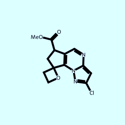 COC(=O)C1CC2(CCO2)c2c1cnc1cc(Cl)nn21